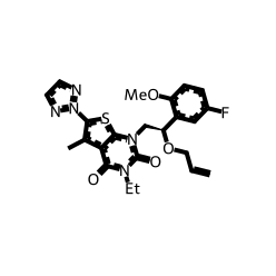 C=CCO[C@@H](Cn1c(=O)n(CC)c(=O)c2c(C)c(-n3nccn3)sc21)c1cc(F)ccc1OC